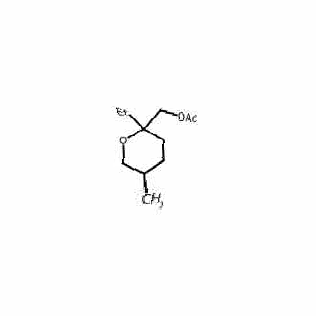 CCC1(COC(C)=O)CCC(C)CO1